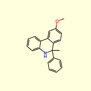 COc1ccc2c(c1)-c1ccccc1NC2(C)c1ccccc1